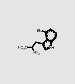 CC(C)(C)c1cccc2[nH]cc(CC(N)C(=O)O)c12